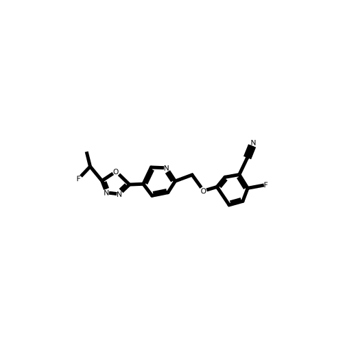 CC(F)c1nnc(-c2ccc(COc3ccc(F)c(C#N)c3)nc2)o1